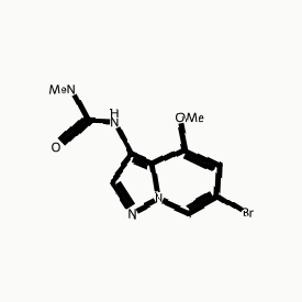 CNC(=O)Nc1cnn2cc(Br)cc(OC)c12